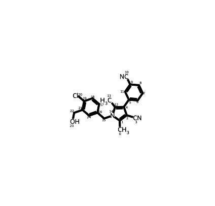 Cc1c(C#N)c(-c2cccc(C#N)c2)c(C)n1Cc1ccc(Cl)c(CO)c1